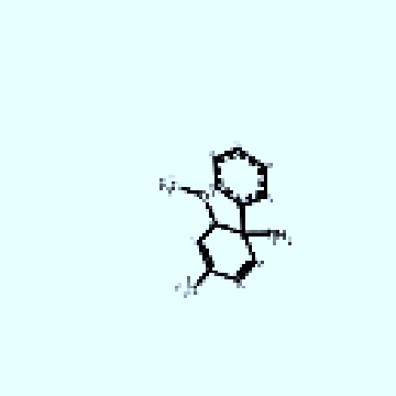 NC1=CC(OC(F)(F)F)C(N)(c2ccccc2)C=C1